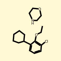 C1COCCN1.CCOc1c(Cl)cccc1C1CCCCC1